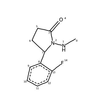 CNN1C(=O)CCC1c1ccccc1F